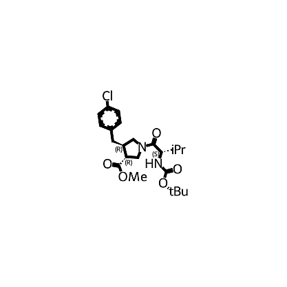 COC(=O)[C@H]1CN(C(=O)[C@@H](NC(=O)OC(C)(C)C)C(C)C)C[C@@H]1Cc1ccc(Cl)cc1